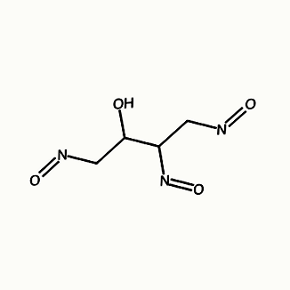 O=NCC(O)C(CN=O)N=O